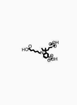 CC1=[N+](CCCCCC(=O)O)c2ccc(S(=O)(=O)O)cc2C1(C)CCCS(=O)(=O)O